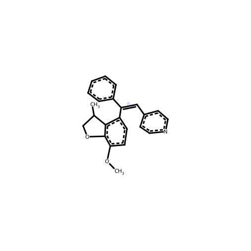 COc1ccc(/C(=C\c2ccncc2)c2ccccc2)c2c1OCC2C